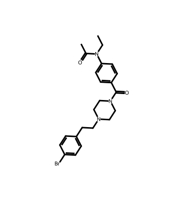 CCN(C(C)=O)c1ccc(C(=O)N2CCN(CCc3ccc(Br)cc3)CC2)cc1